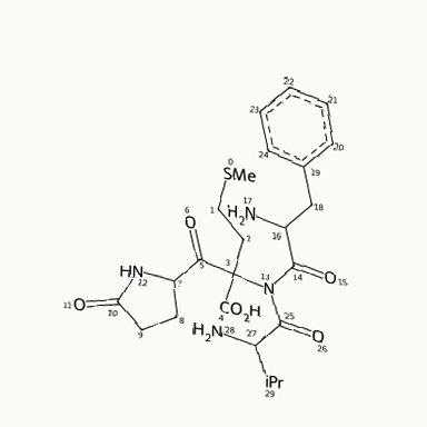 CSCCC(C(=O)O)(C(=O)C1CCC(=O)N1)N(C(=O)C(N)Cc1ccccc1)C(=O)C(N)C(C)C